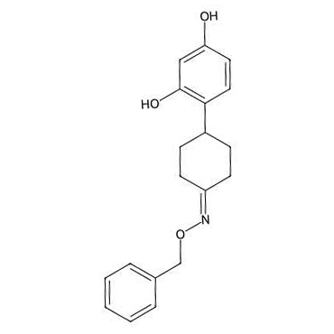 Oc1ccc(C2CCC(=NOCc3ccccc3)CC2)c(O)c1